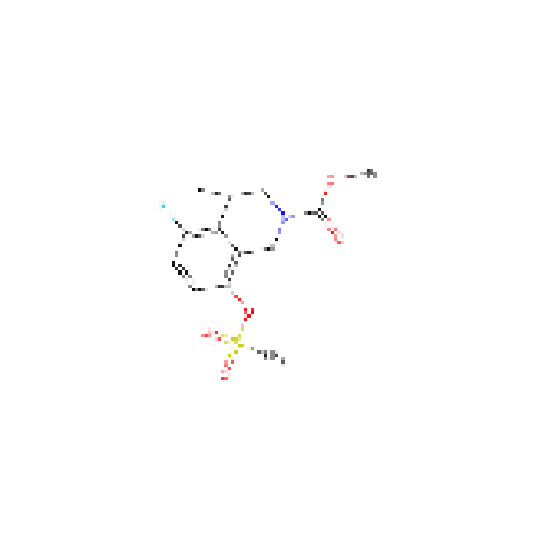 CC(C)(C)OC(=O)N1Cc2c(OS(=O)(=O)C(F)(F)F)ccc(F)c2C(C)(C)C1